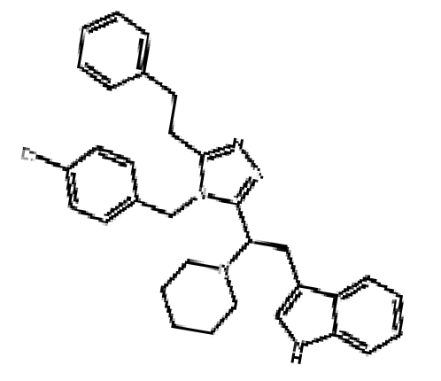 CCc1ccc(Cn2c(CCc3ccccc3)nnc2[C@@H](Cc2c[nH]c3ccccc23)N2CCCCC2)cc1